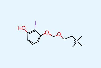 C[Si](C)(C)CCOCOc1cccc(O)c1I